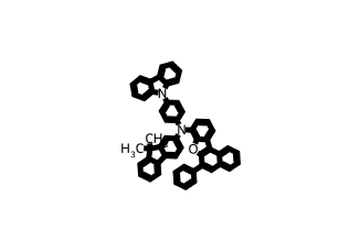 CC1(C)c2ccccc2-c2ccc(N(c3ccc(-n4c5ccccc5c5ccccc54)cc3)c3cccc4c3oc3c(-c5ccccc5)cc5ccccc5c34)cc21